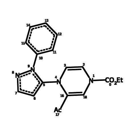 CCOC(=O)N1C=CN(c2ccnn2-c2ccccc2)C(C(C)=O)=C1